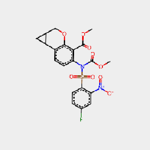 COC(=O)c1c(N(C(=O)OC)S(=O)(=O)c2ccc(F)cc2[N+](=O)[O-])ccc2c1OCC1CC21